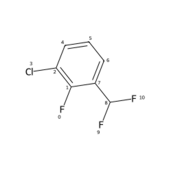 Fc1c(Cl)cccc1C(F)F